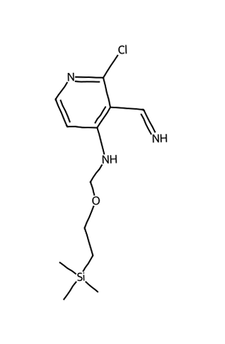 C[Si](C)(C)CCOCNc1ccnc(Cl)c1C=N